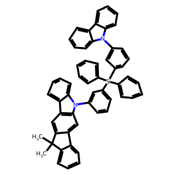 CC1(C)c2ccccc2-c2cc3c(cc21)c1ccccc1n3-c1cccc([Si](c2ccccc2)(c2ccccc2)c2cccc(-n3c4ccccc4c4ccccc43)c2)c1